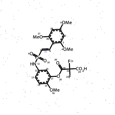 COc1cc(OC)c(/C=C/S(=O)(=O)Nc2ccc(OC)c(OC(=O)C(F)(F)C(=O)O)c2)c(OC)c1